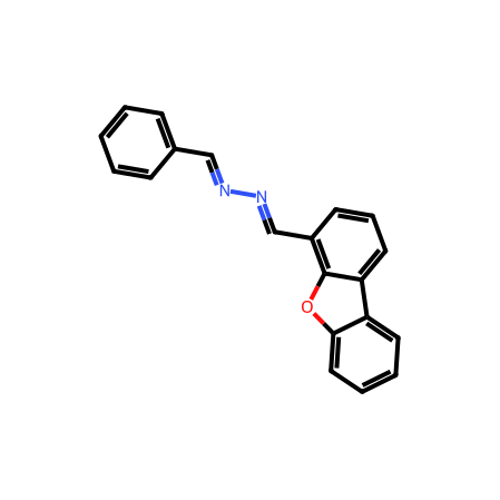 C(=NN=Cc1cccc2c1oc1ccccc12)c1ccccc1